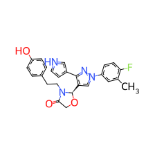 Cc1cc(-n2cc([C@H]3OCC(=O)N3CCc3ccc(O)cc3)c(-c3cc[nH]c3)n2)ccc1F